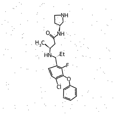 CC[C@@H](N[C@@H](C)CC(=O)N[C@H]1CCNC1)c1ccc(Cl)c(Oc2ccccc2)c1F